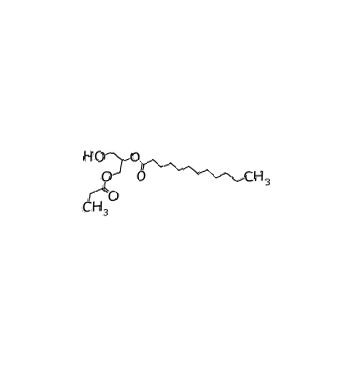 CCCCCCCCCCCC(=O)OC(CO)COC(=O)CC